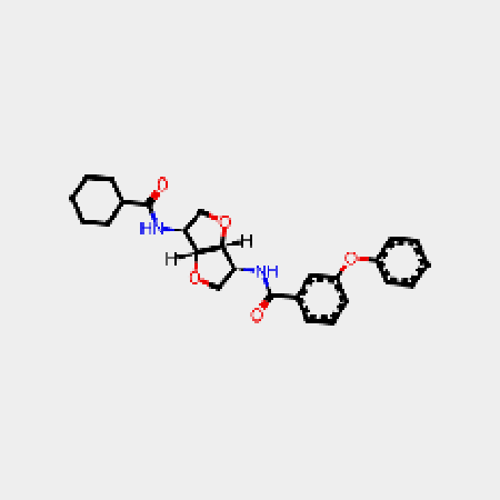 O=C(N[C@H]1CO[C@H]2[C@@H]1OC[C@@H]2NC(=O)C1CCCCC1)c1cccc(Oc2ccccc2)c1